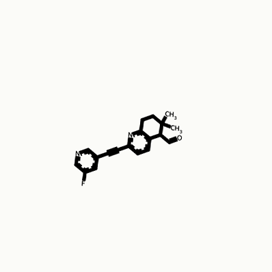 CC1(C)CCc2nc(C#Cc3cncc(F)c3)ccc2C1C=O